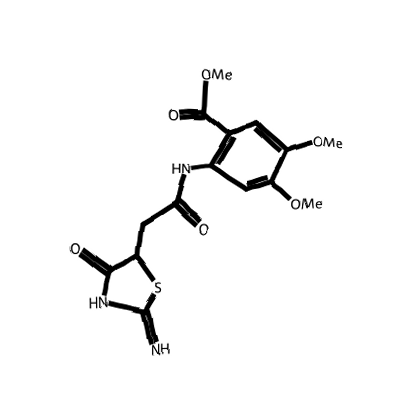 COC(=O)c1cc(OC)c(OC)cc1NC(=O)CC1SC(=N)NC1=O